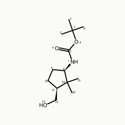 CC(C)(C)OC(=O)N[C@@H]1CC[C@H](CO)C1(C)C